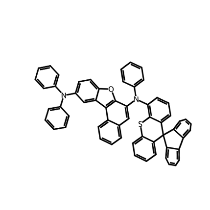 c1ccc(N(c2ccccc2)c2ccc3oc4c(N(c5ccccc5)c5cccc6c5Sc5ccccc5C65c6ccccc6-c6ccccc65)cc5ccccc5c4c3c2)cc1